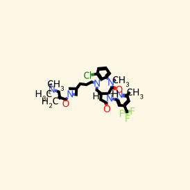 C=C(CN(C)C)C(=O)N1CC(CCCN2C[C@H]3CC(=O)N(c4cc(C(F)(F)F)cc(C)n4)[C@@H]3C(=O)N(C)c3cccc(Cl)c32)C1